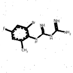 Cc1cc(F)cc(Br)c1NC(=N)NC(=N)N